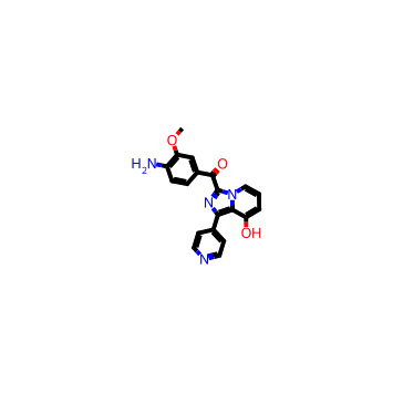 COc1cc(C(=O)c2nc(-c3ccncc3)c3c(O)cccn23)ccc1N